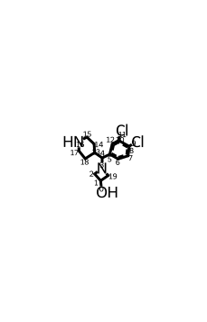 OC1CN(C(c2ccc(Cl)c(Cl)c2)C2CCNCC2)C1